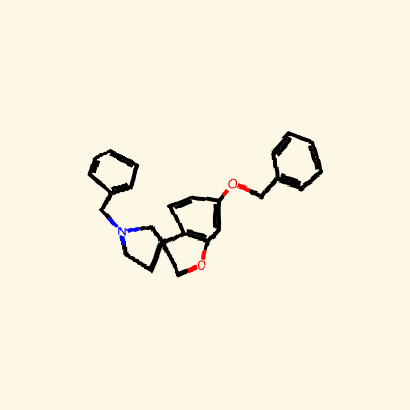 c1ccc(COc2ccc3c(c2)OCC32CCN(Cc3ccccc3)C2)cc1